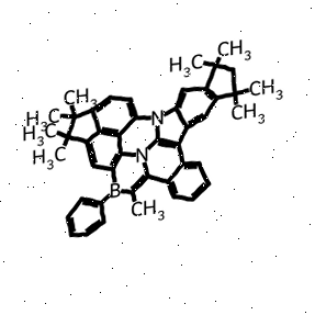 CC1=c2c3ccccc3c3c4cc5c(cc4n4c6ccc7c8c(cc(c(c86)n2c34)B1c1ccccc1)C(C)(C)C7(C)C)C(C)(C)CC5(C)C